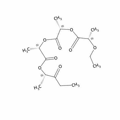 CCO[C@@H](C)C(=O)O[C@@H](C)C(=O)O[C@@H](C)C(=O)O[C@@H](C)C(=O)CC